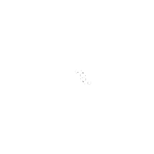 CCCCCCCCCCCCC(CCCCCCCCCC)Cc1csc(-c2cc3c(cc(-c4cc(CC(CCCCCCCCCC)CCCCCCCCCCCC)cs4)c(=O)n3CCCCCCCC)n(CCCCCCCC)c2=O)c1